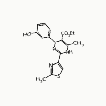 CCOC(=O)C1=C(C)NC(c2csc(C)n2)=NC1c1cccc(O)c1